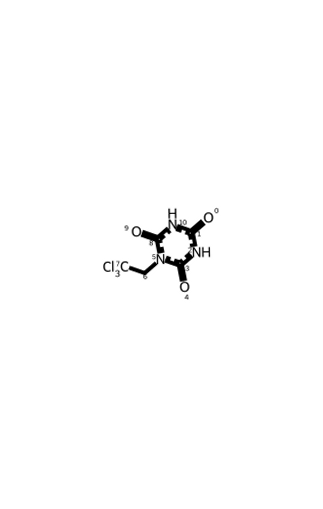 O=c1[nH]c(=O)n(CC(Cl)(Cl)Cl)c(=O)[nH]1